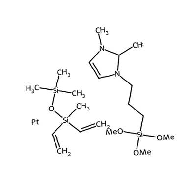 C=C[Si](C)(C=C)O[Si](C)(C)C.[CH]C1N(C)C=CN1CCC[Si](OC)(OC)OC.[Pt]